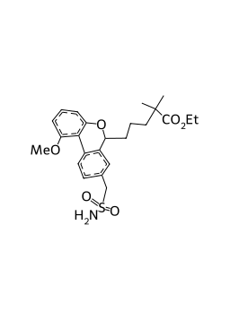 CCOC(=O)C(C)(C)CCCC1Oc2cccc(OC)c2-c2ccc(CS(N)(=O)=O)cc21